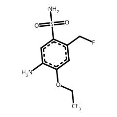 Nc1cc(S(N)(=O)=O)c(CF)cc1OCC(F)(F)F